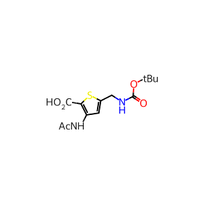 CC(=O)Nc1cc(CNC(=O)OC(C)(C)C)sc1C(=O)O